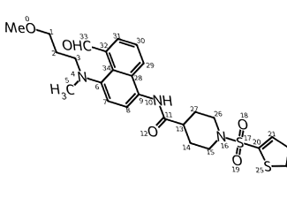 COCCCN(C)c1ccc(NC(=O)C2CCN(S(=O)(=O)C3=CC[C@@H](Br)S3)CC2)c2cccc(C=O)c12